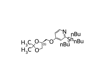 CCC[CH2][Sn]([CH2]CCC)([CH2]CCC)[c]1cc(OC[C@H]2COC(C)(C)O2)ccn1